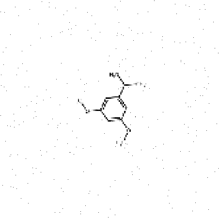 [CH2]C(N)c1cc(OC)cc(OC)c1